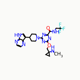 CNC1(COc2nc(C(=O)NCC(F)(F)F)nc(N3CCC(c4c[nH]c5nccnc45)CC3)n2)CC1